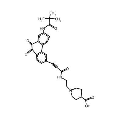 CC(C)(C)C(=O)Nc1ccc2c(c1)C(=O)C(=O)c1ccc(C#CC(=O)NCCN3CCC(C(=O)O)CC3)cc1-2